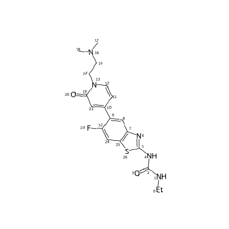 CCNC(=O)Nc1nc2cc(-c3ccn(CCN(C)C)c(=O)c3)c(F)cc2s1